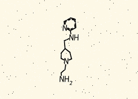 NCCN1CCC(CNc2ccccn2)CC1